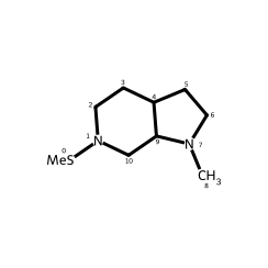 CSN1CCC2CCN(C)C2C1